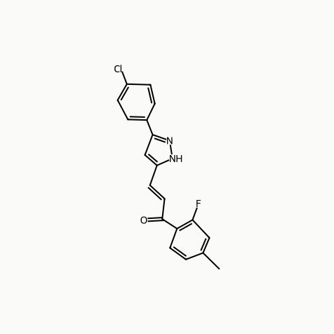 Cc1ccc(C(=O)/C=C/c2cc(-c3ccc(Cl)cc3)n[nH]2)c(F)c1